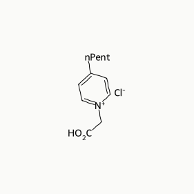 CCCCCc1cc[n+](CC(=O)O)cc1.[Cl-]